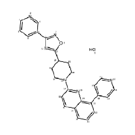 Cl.c1cncc(-c2noc(C3CCN(c4ccc5cccc(-c6ccncc6)c5n4)CC3)n2)c1